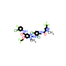 Cn1nc(C(F)(F)F)cc1C(=O)NCc1ccc(Cl)c(Nc2nc3cc(C(=O)Nc4ccc(F)c(Cl)c4)c(OCC(F)F)cc3n2C)c1Cl